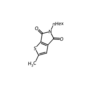 CCCCCCN1C(=O)c2cc(C)sc2C1=O